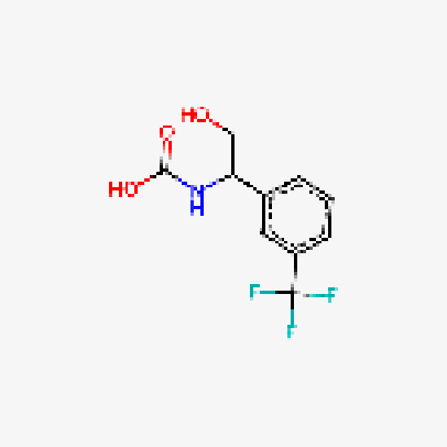 O=C(O)NC(CO)c1cccc(C(F)(F)F)c1